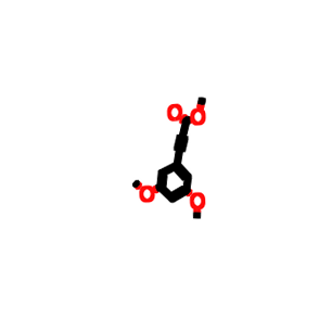 COC(=O)C#Cc1cc(OC)cc(OC)c1